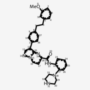 COc1cccc(CCc2ccc(-c3cnn4ccc(C(=O)Nc5ccccc5N5CCNCC5)nc34)cc2)c1